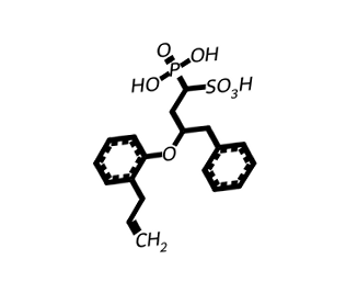 C=CCc1ccccc1OC(Cc1ccccc1)CC(P(=O)(O)O)S(=O)(=O)O